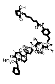 CC[C@H](C)[C@@H]([C@@H](CC(=O)N1CCC[C@H]1[C@H](OC)[C@@H](C)C(=O)N[C@@H](Cc1ccccc1)C(=O)O)OC)N(C)C(=O)[C@@H](NC(=O)[C@H](C(C)C)N(C)CCc1ccc(N(C)C(=O)CCCCCN2C(=O)C=CC2O)cc1)C(C)C